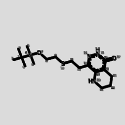 CC(C)(C)[Si](C)(C)OCCSCCc1n[nH]c(=O)c2c1NCCC2